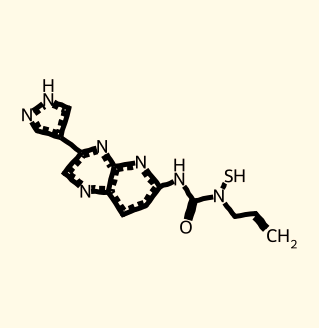 C=CCN(S)C(=O)Nc1ccc2ncc(-c3cn[nH]c3)nc2n1